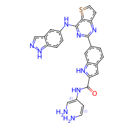 N/C=C\C(=C/N)NC(=O)c1cc2ccc(-c3nc(Nc4ccc5[nH]ncc5c4)c4sccc4n3)cc2[nH]1